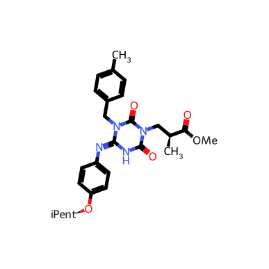 CCC[C@H](C)Oc1ccc(/N=c2\[nH]c(=O)n(C[C@H](C)C(=O)OC)c(=O)n2Cc2ccc(C)cc2)cc1